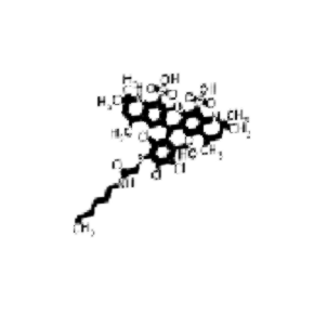 CCCCCCNC(=O)CSc1c(Cl)c(Cl)c(C(=O)O)c(C2=c3cc4c(c(S(=O)(=O)O)c3Oc3c2cc2c(c3S(=O)(=O)O)NC(C)(C)CC2C)=NC(C)(C)CC4C)c1Cl